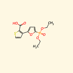 CCOP(=O)(OCC)c1ccc(-c2ccsc2C(=O)O)o1